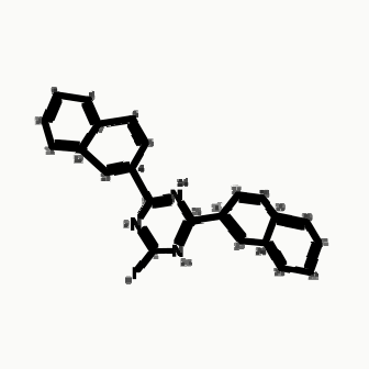 Ic1nc(-c2ccc3ccccc3c2)nc(-c2ccc3ccccc3c2)n1